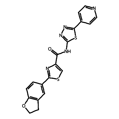 O=C(Nc1nnc(-c2ccncc2)s1)c1csc(-c2ccc3c(c2)CCO3)n1